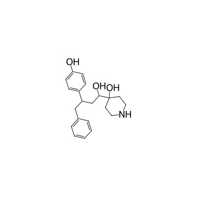 Oc1ccc(C(Cc2ccccc2)CC(O)C2(O)CCNCC2)cc1